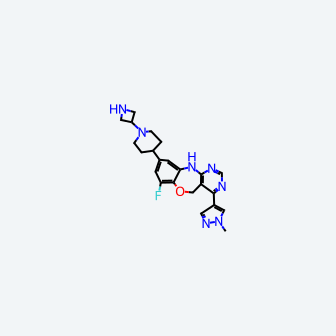 Cn1cc(-c2ncnc3c2COc2c(F)cc(C4CCN(C5CNC5)CC4)cc2N3)cn1